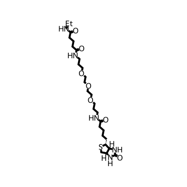 CCNC(=O)CCCC(=O)NCCCOCCOCCOCCCNC(=O)CCCC[C@H]1SC[C@@H]2NC(=O)N[C@@H]21